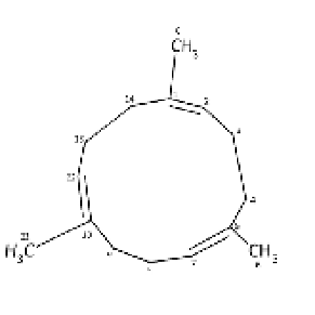 C/C1=C/CC/C(C)=C\CC/C(C)=C\CC1